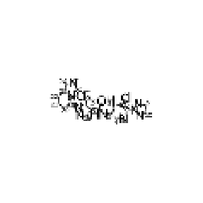 OC(Nc1cnc(-n2nccn2)c(Cl)c1)c1cnn(-c2cccc3cncn23)c1C(F)(F)F